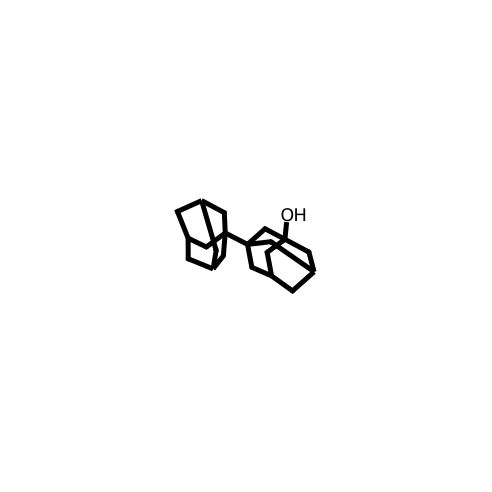 OC12CC3CC(C1)CC(C14CC5CC(CC(C5)C1)C4)(C3)C2